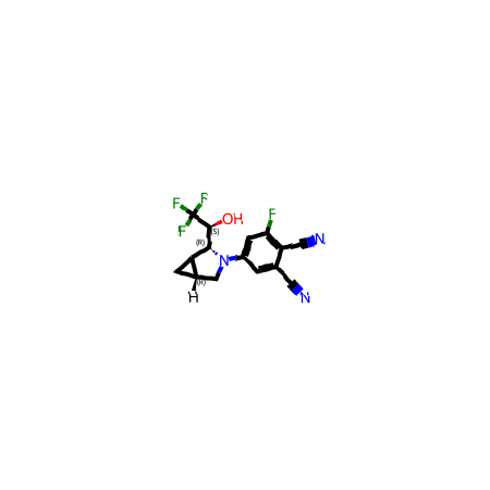 N#Cc1cc(N2C[C@@H]3CC3[C@@H]2[C@H](O)C(F)(F)F)cc(F)c1C#N